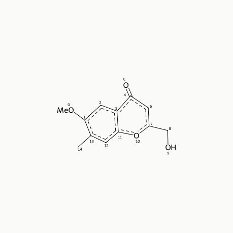 COc1cc2c(=O)cc(CO)oc2cc1C